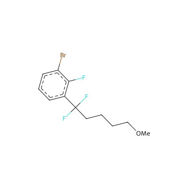 COCCCCC(F)(F)c1cccc(Br)c1F